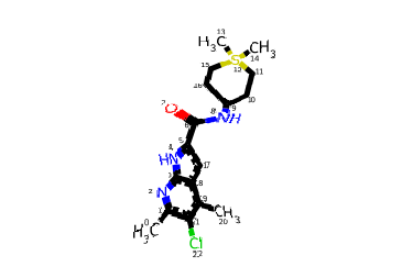 Cc1nc2[nH]c(C(=O)NC3CCS(C)(C)CC3)cc2c(C)c1Cl